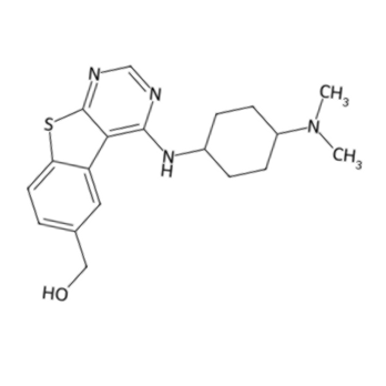 CN(C)C1CCC(Nc2ncnc3sc4ccc(CO)cc4c23)CC1